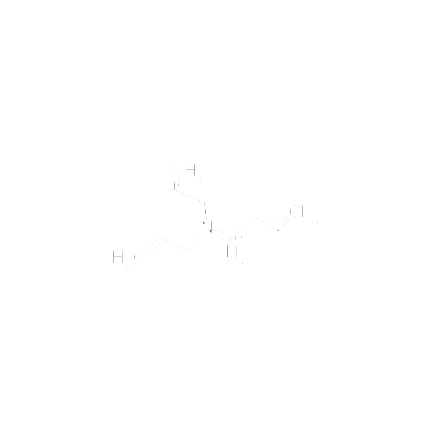 C=C[CH2][GeH2][N](CC=C)CC=C